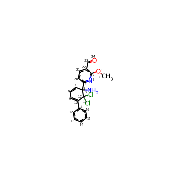 COc1nc(C2(N)C=CC=C(c3ccccc3)C2(Cl)Cl)ccc1C=O